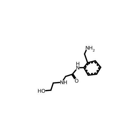 NCc1ccccc1NC(=O)CNCCO